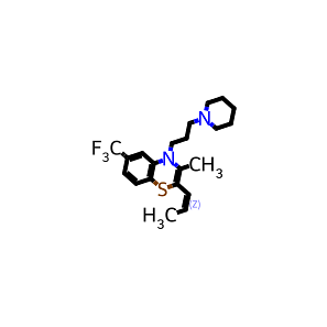 C/C=C\C1=C(C)N(CCCN2CCCCC2)c2cc(C(F)(F)F)ccc2S1